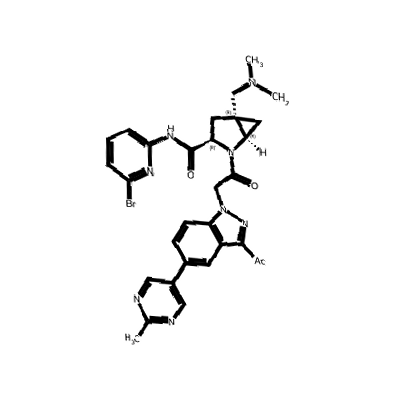 CC(=O)c1nn(CC(=O)N2[C@@H](C(=O)Nc3cccc(Br)n3)C[C@@]3(CN(C)C)C[C@@H]23)c2ccc(-c3cnc(C)nc3)cc12